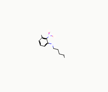 CCCCCNc1cccc(C)c1[N+](=O)[O-]